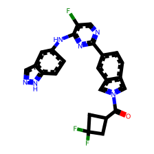 O=C(C1CC(F)(F)C1)n1cc2ccc(-c3ncc(F)c(Nc4ccc5[nH]ncc5c4)n3)cc2c1